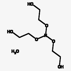 O.OCCON(OCCO)OCCO